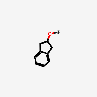 CC(C)OC1Cc2ccccc2C1